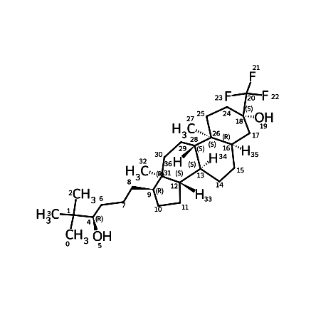 CC(C)(C)[C@H](O)CCC[C@@H]1CC[C@H]2[C@@H]3CC[C@@H]4C[C@](O)(C(F)(F)F)CC[C@]4(C)[C@H]3CC[C@]12C